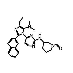 CCc1nc(-c2ccc3ccccc3c2)n(-c2ccnc(NC3CCCN(C=O)C3)n2)c1N(C)C